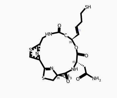 C[C@@]12CSC(=N1)c1csc(n1)CNC(=O)C[C@@H](/C=C/CCS)OC(=O)[C@H](CC(N)=O)NC2=O